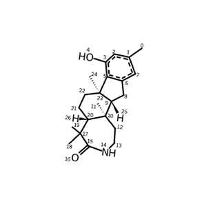 Cc1cc(O)c2c(c1)C[C@@H]1[C@@]3(C)CCNC(=O)C(C)(C)[C@@H]3CC[C@@]21C